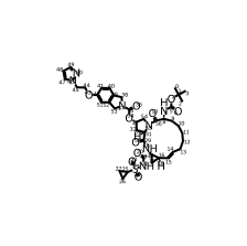 CC(C)(C)OC(=O)N[C@H]1CCCCC/C=C/[C@@H]2C[C@@]2(C(=O)NS(=O)(=O)C2CC2)NC(=O)[C@@H]2C[C@@H](OC(=O)N3Cc4ccc(OCCn5cccn5)cc4C3)CN2C1=O